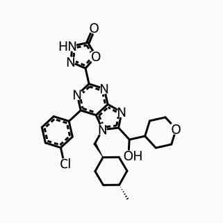 C[C@H]1CC[C@H](Cn2c(C(O)C3CCOCC3)nc3nc(-c4n[nH]c(=O)o4)nc(-c4cccc(Cl)c4)c32)CC1